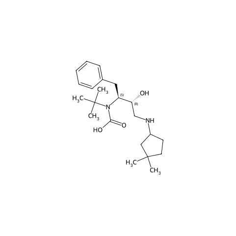 CC1(C)CCC(NC[C@@H](O)[C@H](Cc2ccccc2)N(C(=O)O)C(C)(C)C)C1